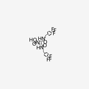 O=C(NCCc1ccc(C(F)(F)F)cc1)C1CN(C(=O)O)CC1C(=O)NCCc1ccc(C(F)(F)F)cc1